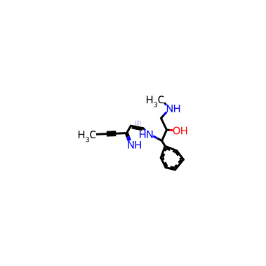 CC#CC(=N)/C=C\NC(c1ccccc1)C(O)CNC